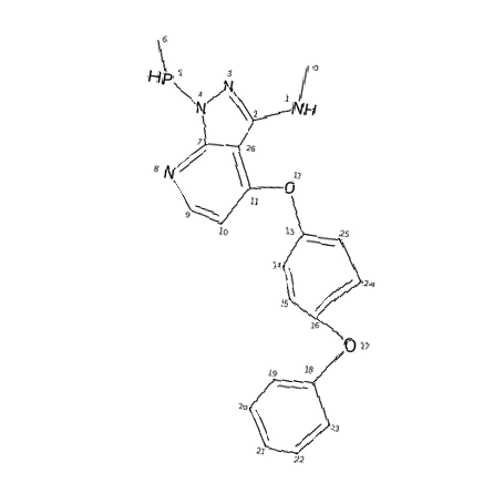 CNc1nn(PC)c2nccc(Oc3ccc(Oc4ccccc4)cc3)c12